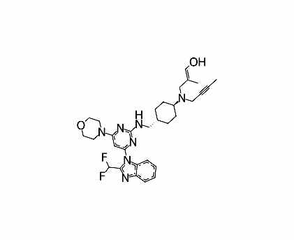 CC#CCN(C/C(C)=C/O)[C@H]1CC[C@H](CNc2nc(N3CCOCC3)cc(-n3c(C(F)F)nc4ccccc43)n2)CC1